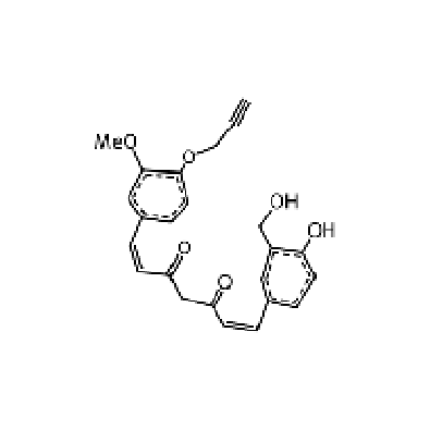 C#CCOc1ccc(/C=C\C(=O)CC(=O)/C=C\c2ccc(O)c(CO)c2)cc1OC